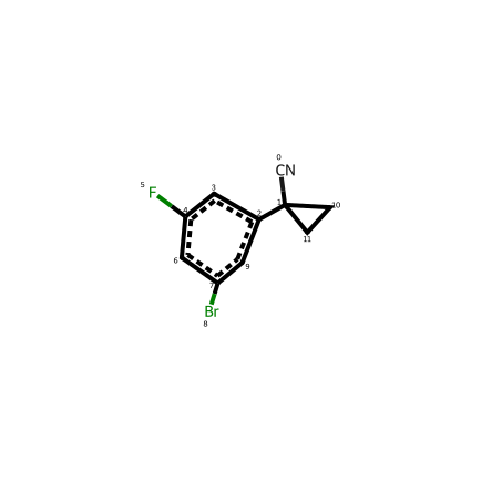 N#CC1(c2cc(F)cc(Br)c2)CC1